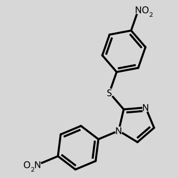 O=[N+]([O-])c1ccc(Sc2nccn2-c2ccc([N+](=O)[O-])cc2)cc1